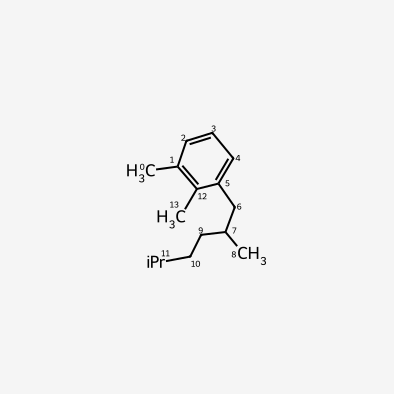 Cc1cccc(CC(C)CCC(C)C)c1C